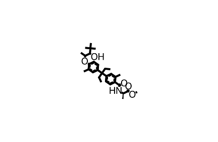 CCC(CC)(c1ccc(OC(C)C(O)C(C)(C)C)c(C)c1)c1ccc(C(=O)N[C@H](C)C(=O)OC)c(C)c1